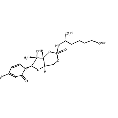 COCCCC[C@H](NP1(=O)OC[C@H]2O[C@@H](n3ccc(N)nc3=O)[C@](C)(O)[C@@H]2O1)C(=O)O